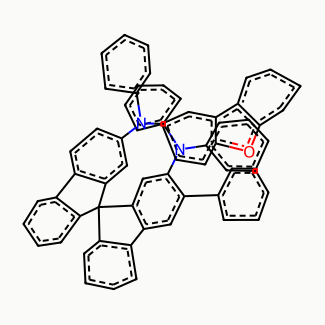 c1ccc(-c2cc3c(cc2N(c2ccccc2)c2ccccc2)C2(c4ccccc4-c4ccc(N(c5ccccc5)c5ccc6oc7ccccc7c6c5)cc42)c2ccccc2-3)cc1